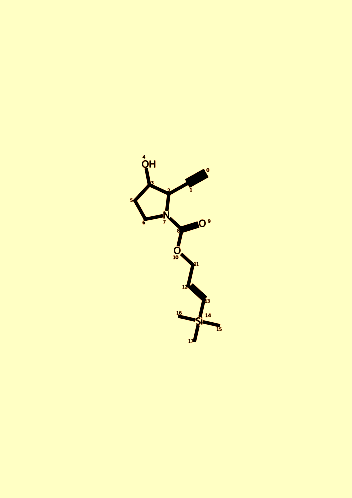 C#CC1C(O)CCN1C(=O)OCC=C[Si](C)(C)C